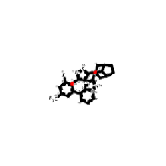 Cc1cc(N2CC3CCC(C2)C3Nc2nc3c(-c4cc(F)cc(C(F)(F)F)c4)cccn3n2)sn1